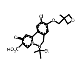 CCC(C)(C)N1Cc2cc(OCC3(C)COC3)c(Cl)cc2-c2cc(=O)c(C(=O)O)cn21